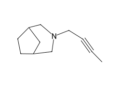 CC#CCN1CC2CCC(C2)C1